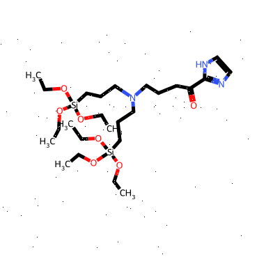 CCO[Si](CCCN(CCCC(=O)c1ncc[nH]1)CCC[Si](OCC)(OCC)OCC)(OCC)OCC